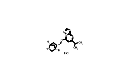 CC(C)c1cc(OC[C@H]2C[C@H]3C[C@@H]2CN3)n2ncnc2n1.Cl